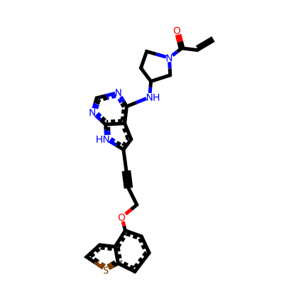 C=CC(=O)N1CCC(Nc2ncnc3[nH]c(C#CCOc4cccc5sccc45)cc23)C1